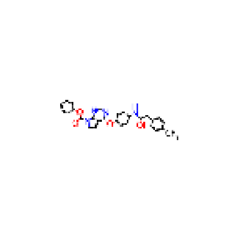 O=C(Oc1ccccc1)n1ccc2c(Oc3ccc(NC(O)Cc4ccc(C(F)(F)F)cc4)cc3)ncnc21